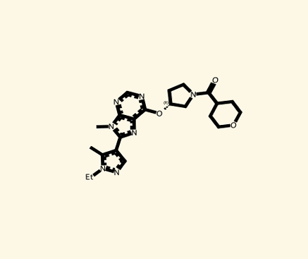 CCn1ncc(-c2nc3c(O[C@@H]4CCN(C(=O)C5CCOCC5)C4)ncnc3n2C)c1C